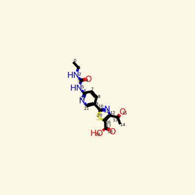 CCNC(=O)Nc1ccc(-c2nc(C(C)=O)c(C(=O)O)s2)cn1